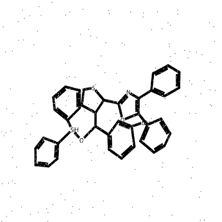 CC(C)(C)c1cccc(C(O[SiH](c2ccccc2)c2ccccc2)C2CCSC2c2nc(-c3ccccc3)c(-c3ccccc3)o2)c1